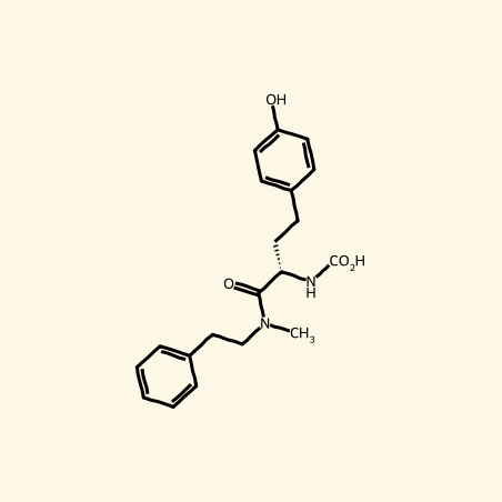 CN(CCc1ccccc1)C(=O)[C@H](CCc1ccc(O)cc1)NC(=O)O